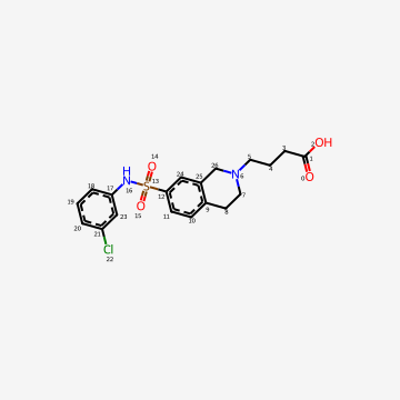 O=C(O)CCCN1CCc2ccc(S(=O)(=O)Nc3cccc(Cl)c3)cc2C1